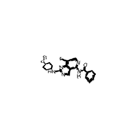 CCO[C@H]1CC[C@H](Nc2ncc3c(NC(=O)c4ccccc4)ncc(I)c3n2)CC1